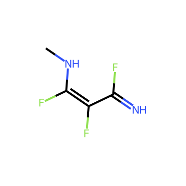 CN/C(F)=C(/F)C(=N)F